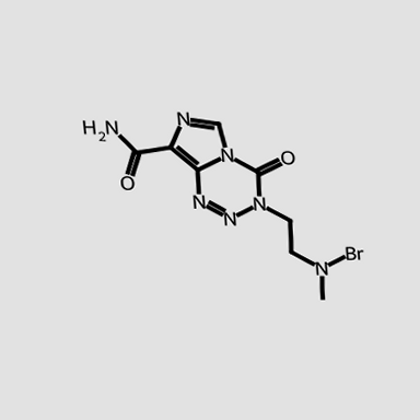 CN(Br)CCn1nnc2c(C(N)=O)ncn2c1=O